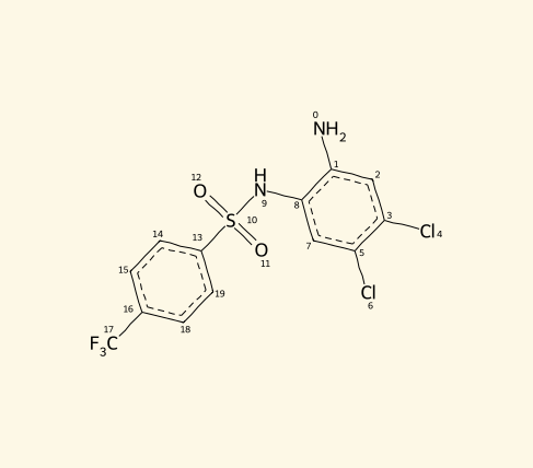 Nc1cc(Cl)c(Cl)cc1NS(=O)(=O)c1ccc(C(F)(F)F)cc1